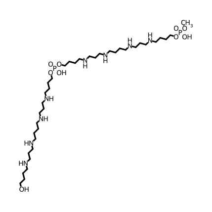 COP(=O)(O)OCCCCNCCCNCCCCNCCCNCCCCOP(=O)(O)OCCCCNCCCNCCCCNCCCNCCCCO